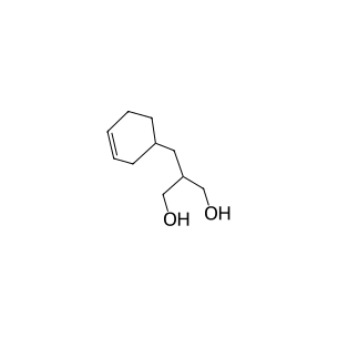 OCC(CO)CC1CC=CCC1